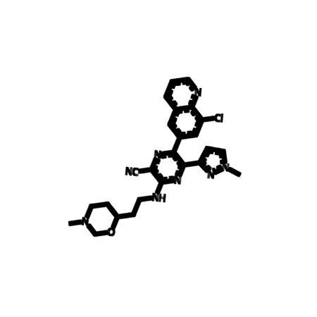 CN1CCC(CCNc2nc(-c3ccn(C)n3)c(-c3cc(Cl)c4ncccc4c3)nc2C#N)OC1